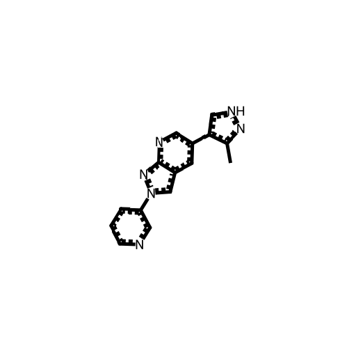 Cc1n[nH]cc1-c1cnc2nn(-c3cccnc3)cc2c1